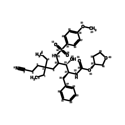 CCC(CC)(CCC#N)CC(NS(=O)(=O)c1ccc(OC)cc1)[C@H](O)[C@H](Cc1ccccc1)NC(=O)O[C@H]1CCOC1